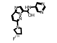 OC(Nc1cncnc1)c1cnc2ccc(N3CC[C@H](F)C3)nn12